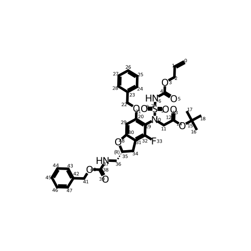 C=CCOC(=O)NS(=O)(=O)N(CC(=O)OC(C)(C)C)c1c(OCc2ccccc2)cc2c(c1F)C[C@H](CNC(=O)OCc1ccccc1)O2